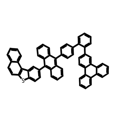 c1ccc(-c2ccc3c4ccccc4c4ccccc4c3c2)c(-c2ccc(-c3c4ccccc4c(-c4ccc5sc6ccc7ccccc7c6c5c4)c4ccccc34)cc2)c1